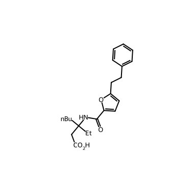 CCCCC(CC)(CC(=O)O)NC(=O)c1ccc(CCc2ccccc2)o1